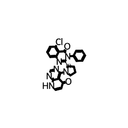 O=c1cc[nH]c2ncnc(N3CCC[C@H]3c3nc4cccc(Cl)c4c(=O)n3-c3ccccc3)c12